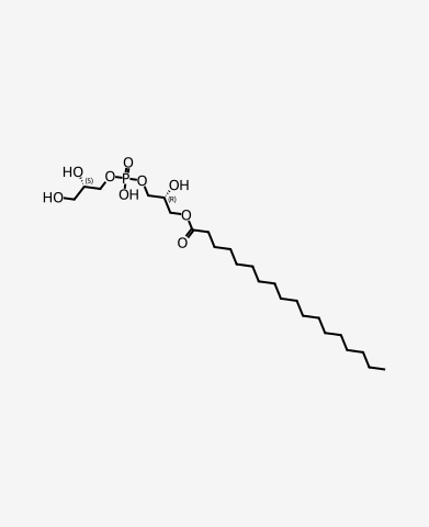 CCCCCCCCCCCCCCCCCC(=O)OC[C@@H](O)COP(=O)(O)OC[C@@H](O)CO